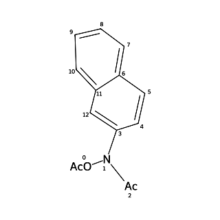 CC(=O)ON(C(C)=O)c1ccc2ccccc2c1